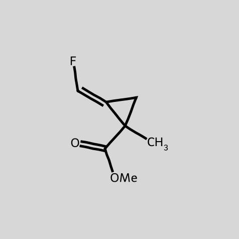 COC(=O)C1(C)CC1=CF